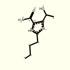 CCCCc1nc(C(C)O)c(C(N)=O)[nH]1